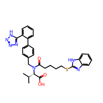 CC(C)[C@@H](C(=O)O)N(Cc1ccc(-c2ccccc2-c2nnn[nH]2)cc1)C(=O)CCCCSc1nc2ccccc2[nH]1